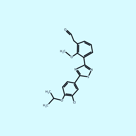 COc1c(CC=O)cccc1-c1nsc(-c2ccc(OC(C)C)c(Cl)c2)n1